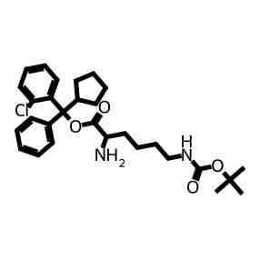 CC(C)(C)OC(=O)NCCCCC(N)C(=O)OC(c1ccccc1)(c1ccccc1Cl)C1CCCC1